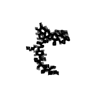 CC[C@@]1(O)C(=O)OCc2c1cc1n(c2=O)Cc2c-1nc1cc(F)c(C)c3c1c2[C@@H](NC(=O)O[C@@H](CN)c1ccc(NC(=O)[C@H](C)NC(=O)[C@@H](NC(C)=O)C(C)C)cc1)CC3